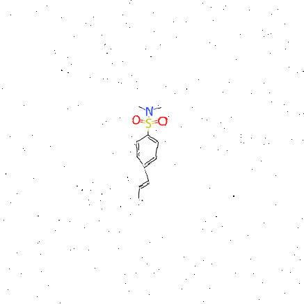 [CH2]C=Cc1ccc(S(=O)(=O)N(C)C)cc1